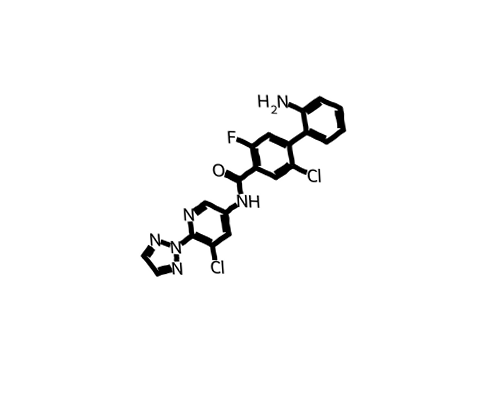 Nc1ccccc1-c1cc(F)c(C(=O)Nc2cnc(-n3nccn3)c(Cl)c2)cc1Cl